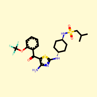 CC(C)CS(=O)(=O)N[C@H]1CC[C@H](Nc2nc(N)c(C(=O)c3ccccc3OC(F)(F)F)s2)CC1